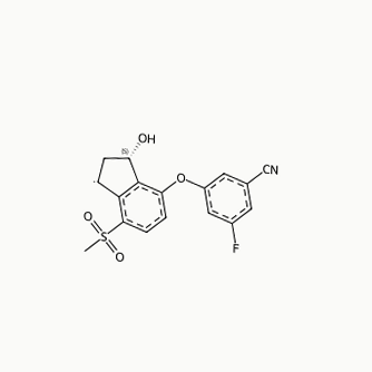 CS(=O)(=O)c1ccc(Oc2cc(F)cc(C#N)c2)c2c1[CH]C[C@@H]2O